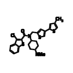 CNC1CCC(N(Cc2cc(-c3cc(C)cs3)cs2)C(=O)c2sc3ccccc3c2Cl)CC1